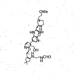 COCCN1CCN/C(=C\C(=N)Nc2cc(C(/C=C\N)=C(\CO)C/C=C/C3=C(NCCNC=O)CC(C)(C)C3)cn(C)c2=O)C1